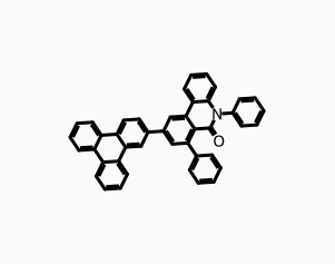 O=c1c2c(-c3ccccc3)cc(-c3ccc4c5ccccc5c5ccccc5c4c3)cc2c2ccccc2n1-c1ccccc1